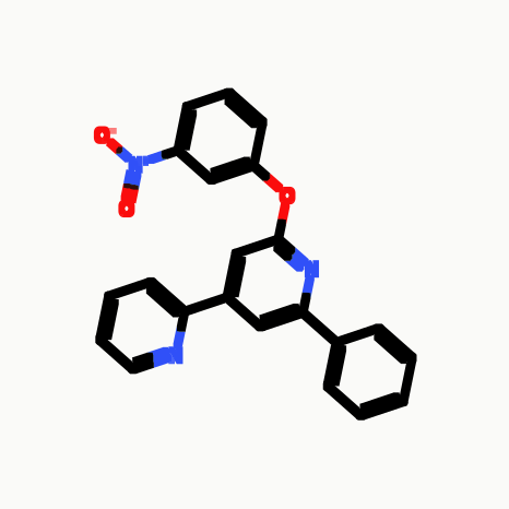 O=[N+]([O-])c1cccc(Oc2cc(-c3ccccn3)cc(-c3ccccc3)n2)c1